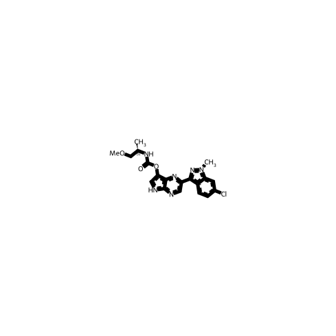 COC[C@H](C)NC(=O)Oc1c[nH]c2ncc(-c3nn(C)c4cc(Cl)ccc34)nc12